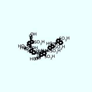 Nc1c(N=Nc2ccc3c(O)c(N=Nc4ccc(S(=O)(=O)O)c5ccccc45)c(S(=O)(=O)O)cc3c2S(=O)(=O)O)cc(S(=O)(=O)O)c2cc(SOOO)c(N=Nc3ccc4cc(SOOO)c(N=Nc5c(S(=O)(=O)O)ccc6c(SOOO)cc(S(=O)(=O)O)cc56)c(O)c4c3)c(O)c12